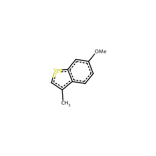 COc1ccc2c(C)[c]sc2c1